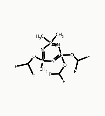 CP1(C)=NP(OC(F)F)(OC(F)F)=NP(C)(OC(F)F)=N1